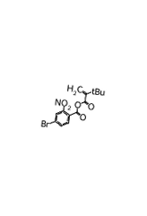 C=C(C(=O)OC(=O)c1ccc(Br)cc1[N+](=O)[O-])C(C)(C)C